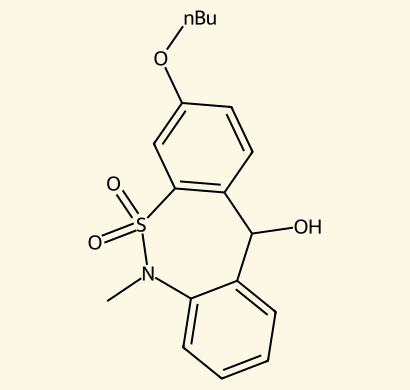 CCCCOc1ccc2c(c1)S(=O)(=O)N(C)c1ccccc1C2O